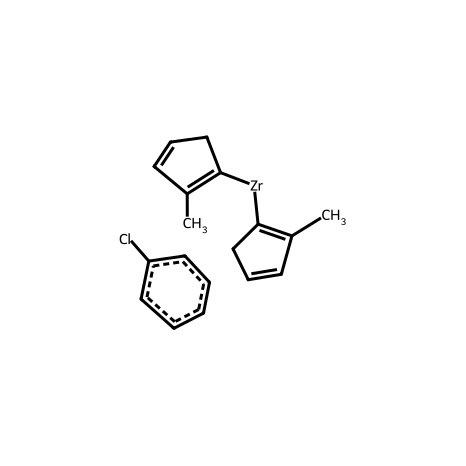 CC1=[C]([Zr][C]2=C(C)C=CC2)CC=C1.Clc1ccccc1